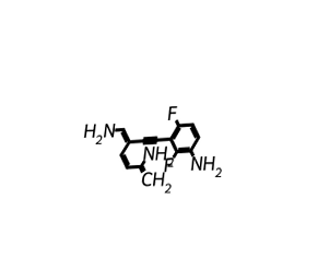 C=C(N)/C=C\C(C#Cc1c(F)ccc(N)c1F)=C/N